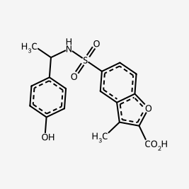 Cc1c(C(=O)O)oc2ccc(S(=O)(=O)NC(C)c3ccc(O)cc3)cc12